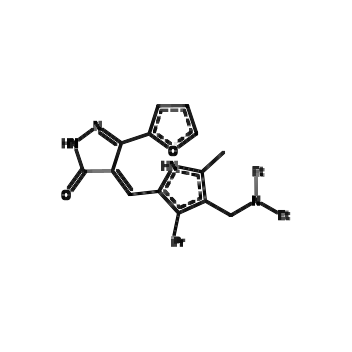 CCN(CC)Cc1c(C)[nH]c(/C=C2/C(=O)NN=C2c2ccco2)c1C(C)C